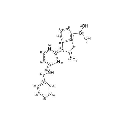 CC1Cc2c(B(O)O)cccc2N1c1nccc(NCc2ccccc2)n1